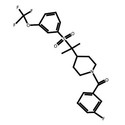 CC(C)(C1CCN(C(=O)c2cccc(F)c2)CC1)S(=O)(=O)c1cccc(OC(F)(F)F)c1